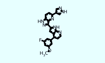 COc1cc(F)cc(-c2ccnc3[nH]c(-c4n[nH]c5ccc(-c6cn[nH]c6)nc45)cc23)c1